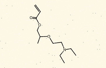 C=CC(=O)OCC(C)OCCN(CC)CC